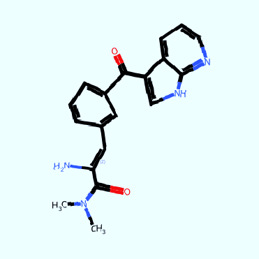 CN(C)C(=O)/C(N)=C/c1cccc(C(=O)c2c[nH]c3ncccc23)c1